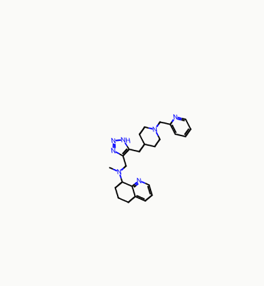 CN(Cc1nn[nH]c1CC1CCN(Cc2ccccn2)CC1)C1CCCc2cccnc21